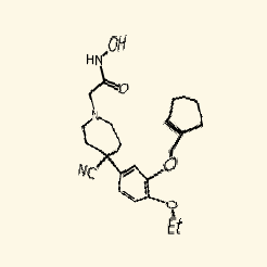 CCOc1ccc(C2(C#N)CCN(CC(=O)NO)CC2)cc1OC1CCCC1